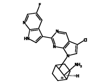 N[C@H]1C2CCC(CC2)C1n1cc(Cl)c2cnc(-c3c[nH]c4ncc(F)cc34)nc21